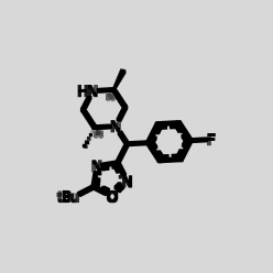 C[C@@H]1CN[C@@H](C)CN1C(c1ccc(F)cc1)c1noc(C(C)(C)C)n1